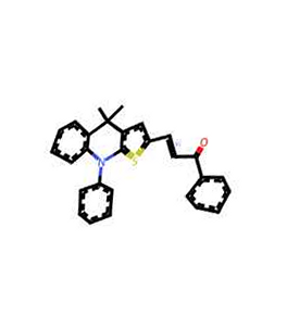 CC1(C)c2ccccc2N(c2ccccc2)c2sc(/C=C/C(=O)c3ccccc3)cc21